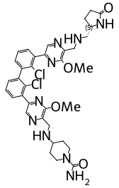 COc1nc(-c2cccc(-c3cccc(-c4cnc(CNC5CCN(C(N)=O)CC5)c(OC)n4)c3Cl)c2Cl)cnc1CNC[C@@H]1CCC(=O)N1